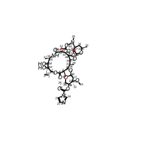 CC[C@H]1OC(=O)[C@H](C)[C@@H](O[C@H]2C[C@@](C)(OC)[C@@H](OC(=O)n3ccnc3)[C@H](C)O2)[C@H](C)[C@@H](O[C@@H]2O[C@H](C)C[C@H](N(C)C)[C@H]2OC(C)=O)[C@](C)(OC)C[C@@H](C)C(=O)N[C@H](C)[C@@H](O)[C@]1(C)O